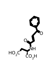 O=C(O)C[C@@H](NC(=O)C=CC(=O)c1ccccc1)C(=O)O